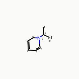 CCC(C)N1C=CC=CC1